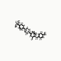 Cc1cc(N2CCN(c3ccc(C(C)(F)F)cn3)CC2)nnc1Cc1ccc(F)cc1